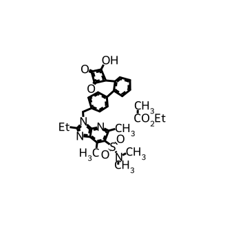 CCOC(C)=O.CCc1nc2c(C)c(S(=O)(=O)N(C)C)c(C)nc2n1Cc1ccc(-c2ccccc2-c2c(O)c(=O)c2=O)cc1